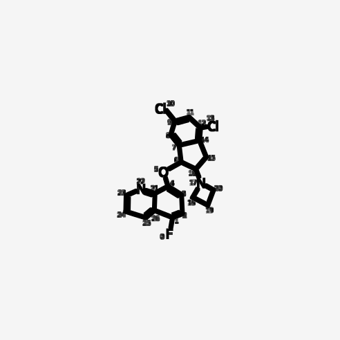 Fc1ccc(OC2c3cc(Cl)cc(Cl)c3CC2N2CCC2)c2ncccc12